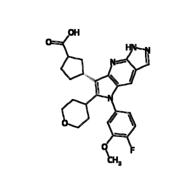 COc1cc(-n2c(C3CCOCC3)c([C@@H]3CCC(C(=O)O)C3)c3nc4[nH]ncc4cc32)ccc1F